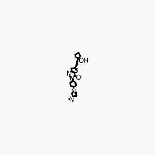 CN(C)[C@@H]1CCN(c2ccc(-n3cnc4cc(C#CC5(O)CCCC5)sc4c3=O)cc2)C1